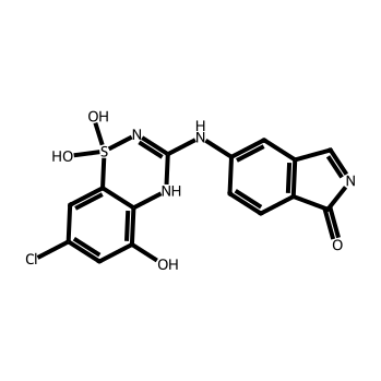 O=C1N=Cc2cc(NC3=NS(O)(O)c4cc(Cl)cc(O)c4N3)ccc21